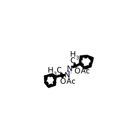 CC(=O)OC(C)(/N=N/C(C)(OC(C)=O)c1ccccc1)c1ccccc1